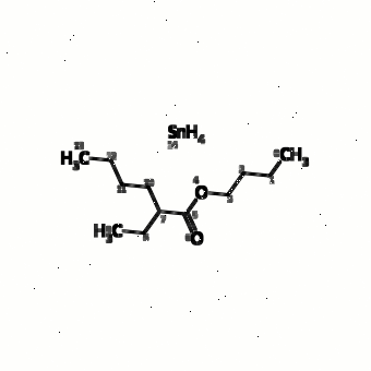 CCCCOC(=O)C(CC)CCCC.[SnH4]